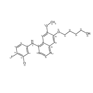 COc1cc2c(Nc3ccc(F)c(Cl)c3)ncnc2cc1OCCCCO